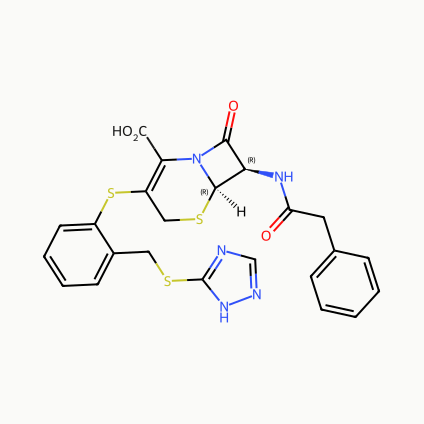 O=C(Cc1ccccc1)N[C@@H]1C(=O)N2C(C(=O)O)=C(Sc3ccccc3CSc3ncn[nH]3)CS[C@H]12